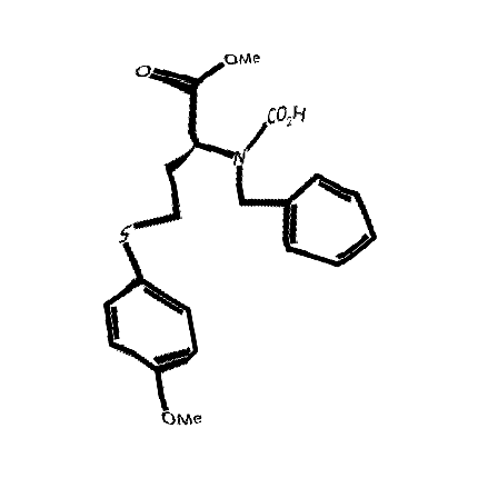 COC(=O)[C@H](CCSc1ccc(OC)cc1)N(Cc1ccccc1)C(=O)O